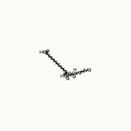 O=[C]COCCOCCNC(=O)CC[C@H](NC(=O)CCCCCCCCCCCCCCCCC(=O)O)C(=O)O